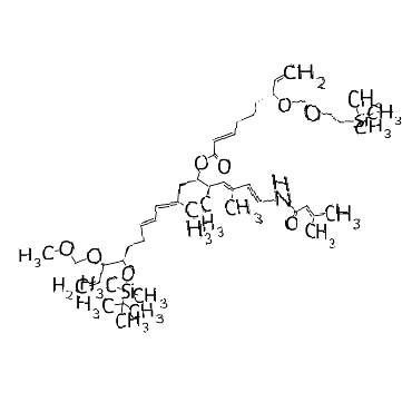 C=C[C@@H](CCC/C=C/C(=O)O[C@H](C/C(C)=C/C=C/CC[C@@H](O[Si](C)(C)C(C)(C)C)[C@@H](C=C)OCOC)[C@H](C)/C=C(C)/C=C/NC(=O)C=C(C)C)OCOCC[Si](C)(C)C